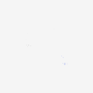 COC(C)(C)CCCC(C)CCc1ccccc1NN